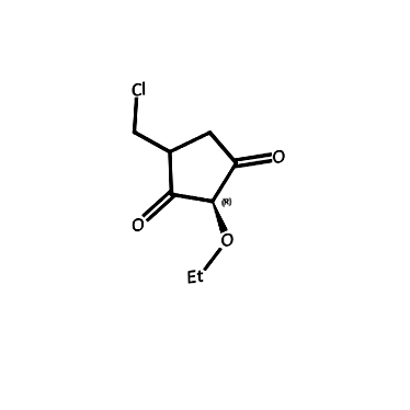 CCO[C@@H]1C(=O)CC(CCl)C1=O